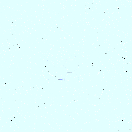 CCCOc1cc(F)c(C)c(F)c1NC=O